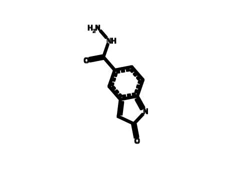 NNC(=O)c1ccc2c(c1)=CC(=O)N=2